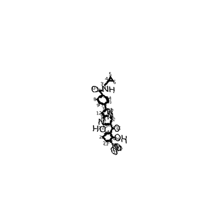 O=C(NCC1CC1)c1ccc(-c2cc3ncc(C(=O)c4c(O)ccc([N+](=O)[O-])c4O)cn3n2)cc1